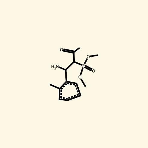 COP(=O)(OC)C(C(C)=O)C(N)c1ccccc1C